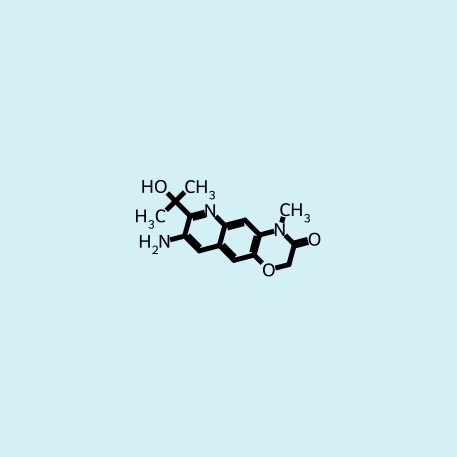 CN1C(=O)COc2cc3cc(N)c(C(C)(C)O)nc3cc21